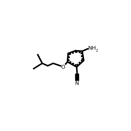 CC(C)CCOc1ccc(N)cc1C#N